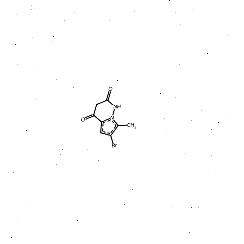 Cc1c(Br)cc2n1NC(=O)CC2=O